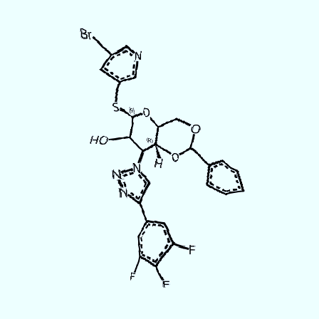 OC1C(n2cc(-c3cc(F)c(F)c(F)c3)nn2)[C@H]2OC(c3ccccc3)OCC2O[C@@H]1Sc1cncc(Br)c1